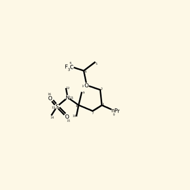 CCCC(COC(C)C(F)(F)F)CC(C)(C)N(C)S(C)(=O)=O